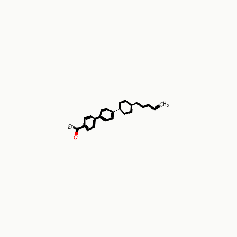 C=CCCC[C@H]1CC[C@H](c2ccc(-c3ccc(C(=O)CC)cc3)cc2)CC1